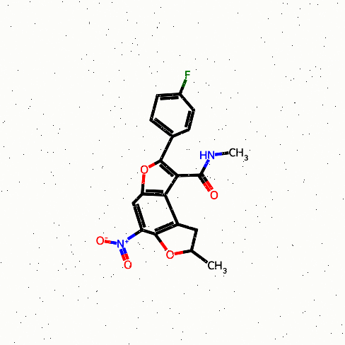 CNC(=O)c1c(-c2ccc(F)cc2)oc2cc([N+](=O)[O-])c3c(c12)CC(C)O3